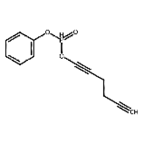 C#CCCC#CO[PH](=O)Oc1ccccc1